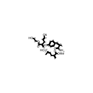 C=C(CC=C(C)C(=O)O)C(=O)OC.C=C(CC=CC#N)C(=O)OCCO.CC(=Cc1ccc(O)cc1)C(N)=O